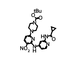 CC(C)(C)OC(=O)N1CCN(c2ccc([N+](=O)[O-])c(Nc3ccnc(NC(=O)C4CC4)c3)n2)CC1